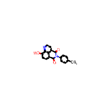 Cc1ccc(N2C(=O)c3ccnc4c(O)ccc(c34)C2=O)cc1